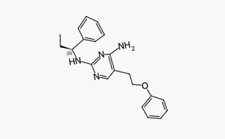 CC[C@H](Nc1ncc(CCOc2ccccc2)c(N)n1)c1ccccc1